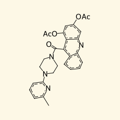 CC(=O)Oc1cc(OC(C)=O)c2c(C(=O)N3CCN(c4cccc(C)n4)CC3)c3ccccc3nc2c1